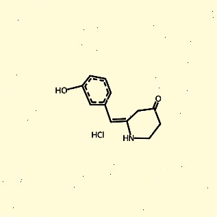 Cl.O=C1CCNC(=Cc2cccc(O)c2)C1